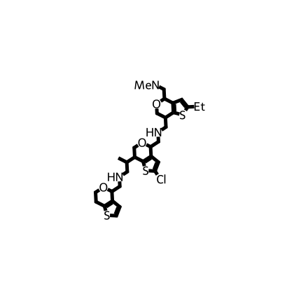 CCc1cc2c(s1)C(CNCC1OCC(C(C)CNCC3OCCc4sccc43)c3sc(Cl)cc31)COC2CNC